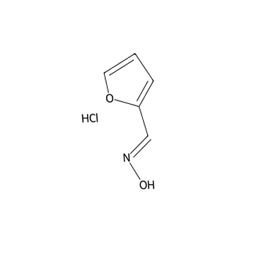 Cl.ON=Cc1ccco1